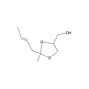 CC=CCC1(C)OCC(CO)O1